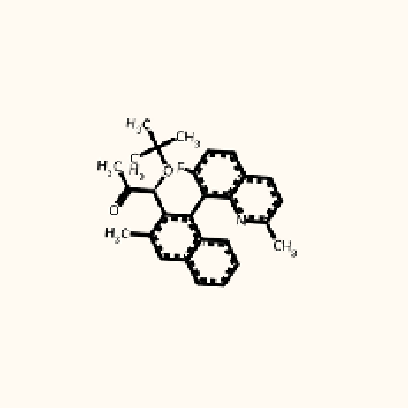 CC(=O)[C@@H](OC(C)(C)C)c1c(C)cc2ccccc2c1-c1c(F)ccc2ccc(C)nc12